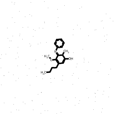 CCCCC1=C(OC)C(=Nc2ccccc2)C(C)C(O)=C1